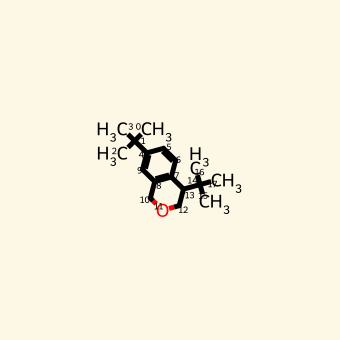 CC(C)(C)c1ccc2c(c1)COCC2C(C)(C)C